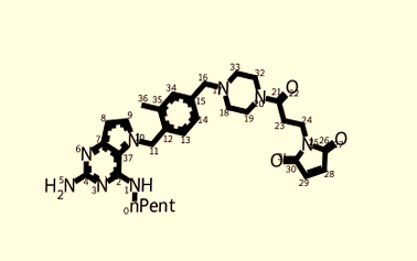 CCCCCNc1nc(N)nc2ccn(Cc3ccc(CN4CCN(C(=O)CCN5C(=O)C=CC5=O)CC4)cc3C)c12